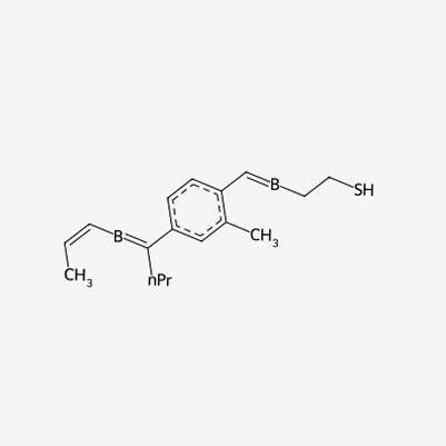 C/C=C\B=C(/CCC)c1ccc(/C=B\CCS)c(C)c1